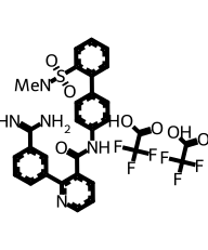 CNS(=O)(=O)c1ccccc1-c1ccc(NC(=O)c2cccnc2-c2cccc(C(=N)N)c2)cc1.O=C(O)C(F)(F)F.O=C(O)C(F)(F)F